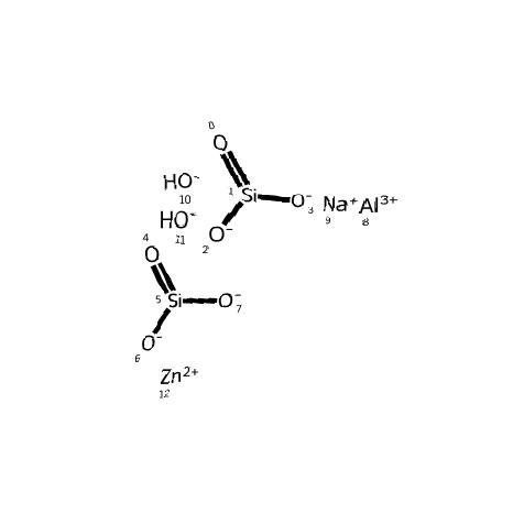 O=[Si]([O-])[O-].O=[Si]([O-])[O-].[Al+3].[Na+].[OH-].[OH-].[Zn+2]